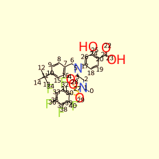 CN(CC(=O)N(Cc1ccc(C(C)(C)C)cc1)c1ccc(C(=O)O)c(O)c1)S(=O)(=O)c1c(F)c(F)c(F)c(F)c1F